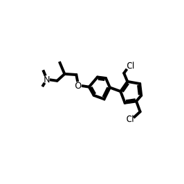 CC(COc1ccc(-c2cc(CCl)ccc2CCl)cc1)CN(C)C